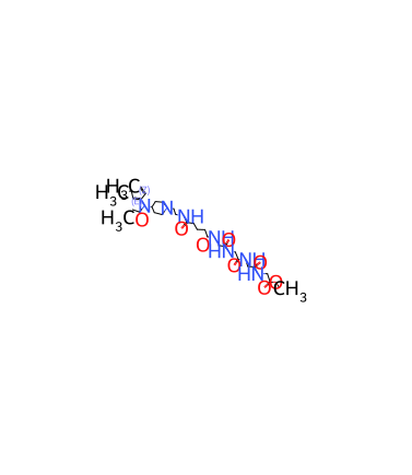 C/C=C\C(=C/CC)N(C(=O)CC)C1CCN(CCNC(=O)CCCC(=O)NCC(=O)NCC(=O)NCC(=O)NCC(=O)OC)CC1